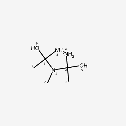 CN(C(C)(N)O)C(C)(N)O